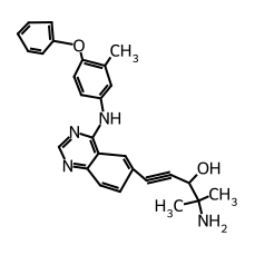 Cc1cc(Nc2ncnc3ccc(C#CC(O)C(C)(C)N)cc23)ccc1Oc1ccccc1